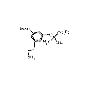 CCOC(=O)C(C)(C)Oc1cc(CCN)cc(OC)c1